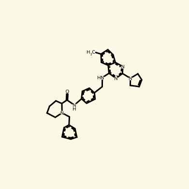 Cc1ccc2nc(N3CC=CC3)nc(NCc3ccc(NC(=O)C4CCCCN4Cc4ccccc4)cc3)c2c1